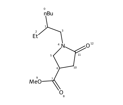 CCCCC(CC)CN1CC(C(=O)OC)CC1=O